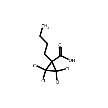 CCCCC1(C(=O)O)C(Cl)(Cl)C1(Cl)Cl